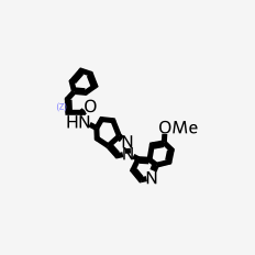 COc1ccc2nccc(-n3cc4c(n3)CCC(NC(=O)/C=C\c3ccccc3)C4)c2c1